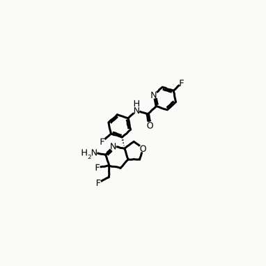 NC1=N[C@@]2(c3cc(NC(=O)c4ccc(F)cn4)ccc3F)COCC2CC1(F)CF